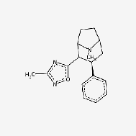 Cc1noc(C2C3CCC(C[C@H]2c2ccccc2)N3C)n1